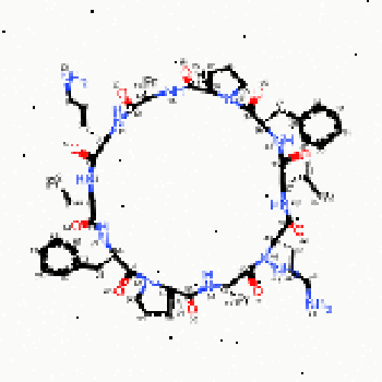 CC(C)C[C@@H]1NC(=O)[C@H](CCCN)NC(=O)[C@H](C(C)C)NC(=O)[C@@H]2CCCN2C(=O)[C@@H](Cc2ccccc2)NC(=O)[C@H](CC(C)C)NC(=O)[C@H](CCCN)N(N)C(=O)[C@H](C(C)C)NC(=O)[C@@H]2CCCN2C(=O)[C@@H](Cc2ccccc2)NC1=O